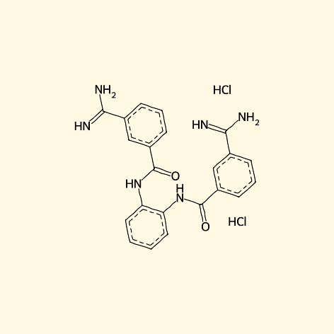 Cl.Cl.N=C(N)c1cccc(C(=O)Nc2ccccc2NC(=O)c2cccc(C(=N)N)c2)c1